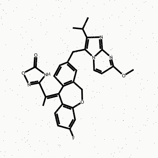 COc1ccn2c(Cc3ccc4c(c3)COc3cc(F)ccc3/C4=C(\C)c3noc(=O)[nH]3)c(C(C)C)nc2n1